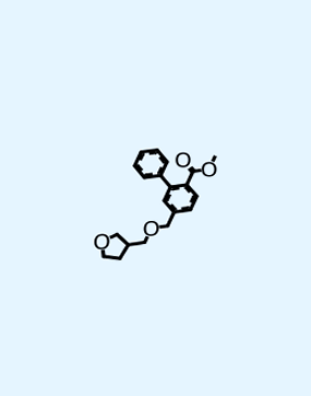 COC(=O)c1ccc(COCC2CCOC2)cc1-c1ccccc1